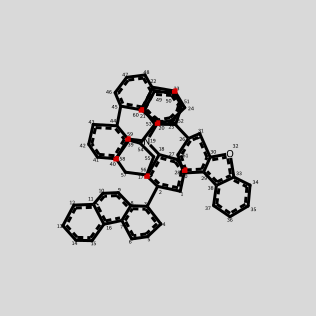 c1cc(-c2cccc3c2ccc2ccccc23)cc(N(c2ccccc2-c2ccc3c(c2)oc2ccccc23)c2ccccc2-c2cccc3cccc(C4CCCCC4)c23)c1